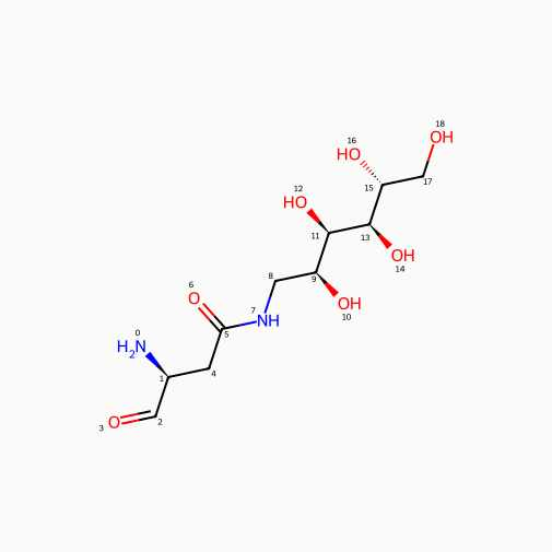 N[C@H](C=O)CC(=O)NC[C@H](O)[C@@H](O)[C@H](O)[C@H](O)CO